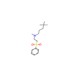 CN(CCCC(C)(C)C)CCS(=O)(=O)c1ccccc1